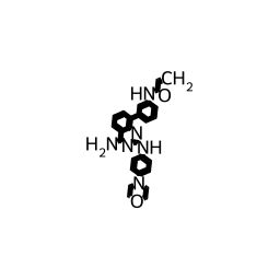 C=CC(=O)Nc1cccc(-c2cccc3c(N)nc(Nc4ccc(N5CCOCC5)cc4)nc23)c1